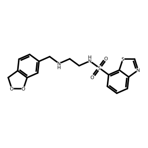 O=S(=O)(NCCNCc1ccc2c(c1)OOC2)c1cccc2ncsc12